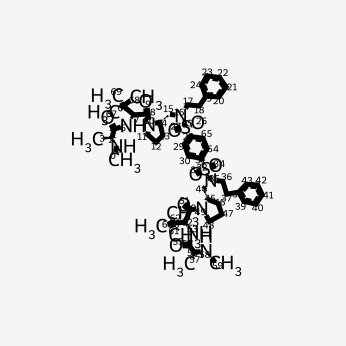 CN[C@@H](C)C(=O)N[C@H](C(=O)N1CCC[C@H]1CN(CCc1ccccc1)S(=O)(=O)c1ccc(S(=O)(=O)N(CCc2ccccc2)C[C@@H]2CCCN2C(=O)[C@@H](NC(=O)[C@H](C)NC)C(C)(C)C)cc1)C(C)(C)C